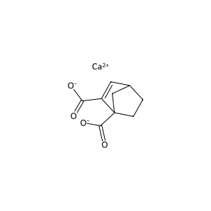 O=C([O-])C1=CC2CCC1(C(=O)[O-])C2.[Ca+2]